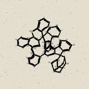 c1ccc2c(c1)Oc1c(cc(-c3ccccc3-c3ccc4c(c3)C3(c5ccccc5-4)C4CC5CC(C4)CC3C5)c3ccccc13)C21c2ccccc2-c2ccccc21